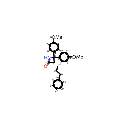 COc1ccc(C2(c3ccc(OC)cc3)NC(=O)[C@H]2CCCc2ccccc2)cc1